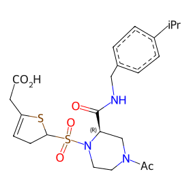 CC(=O)N1CCN(S(=O)(=O)C2CC=C(CC(=O)O)S2)[C@@H](C(=O)NCc2ccc(C(C)C)cc2)C1